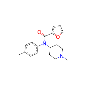 Cc1ccc(N(C(=O)c2ccco2)C2CCN(C)CC2)cc1